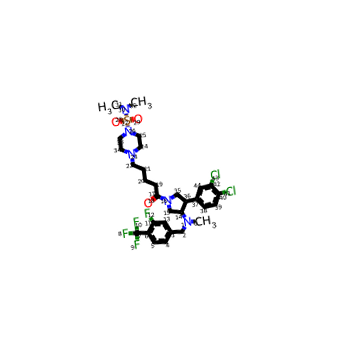 CN(Cc1ccc(C(F)(F)F)c(F)c1)C1CN(C(=O)CCCCN2CCN(S(=O)(=O)N(C)C)CC2)CC1c1ccc(Cl)c(Cl)c1